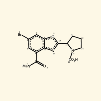 CNC(=O)c1cc(Br)cc2oc(C3CCCN3C(=O)O)nc12